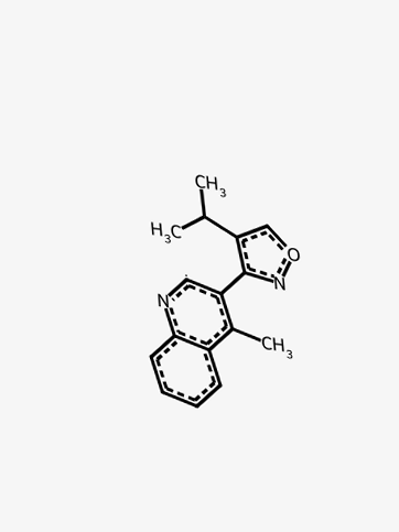 Cc1c(-c2nocc2C(C)C)[c]nc2ccccc12